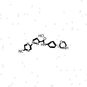 Cl.N#Cc1cnc(-n2ccc(C(=O)Nc3ccc([C@H]4CNCCO4)cc3)n2)cn1